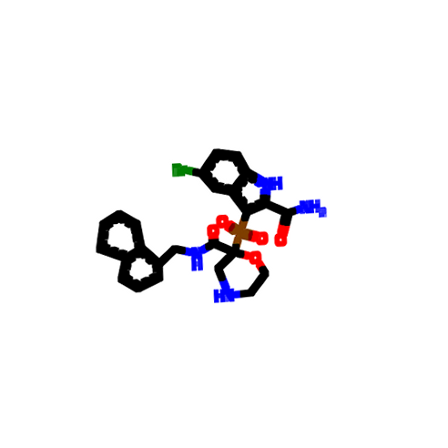 NC(=O)c1[nH]c2ccc(Br)cc2c1S(=O)(=O)C1(C(=O)NCc2cccc3ccccc23)CNCCO1